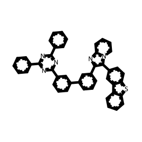 c1ccc(-c2nc(-c3ccccc3)nc(-c3cccc(-c4cccc(-c5nc6ccccn6c5-c5ccc6sc7ccccc7c6c5)c4)c3)n2)cc1